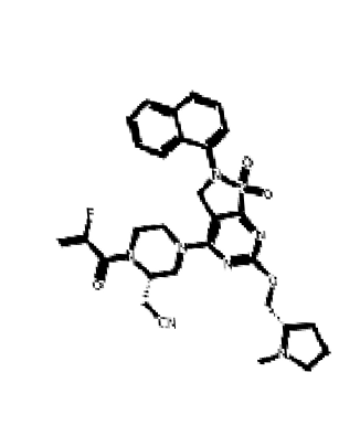 C=C(F)C(=O)N1CCN(c2nc(OC[C@@H]3CCCN3C)nc3c2CN(c2cccc4ccccc24)S3(=O)=O)C[C@@H]1CC#N